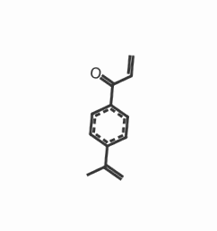 C=CC(=O)c1ccc(C(=C)C)cc1